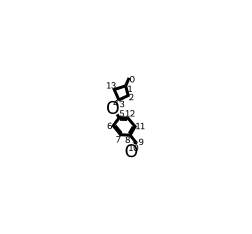 CC1CC(Oc2ccc(C=O)cc2)C1